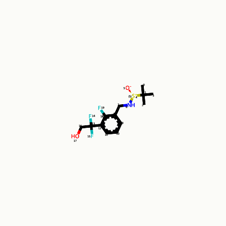 CC(C)(C)[S@@+]([O-])NCc1cccc(C(F)(F)CO)c1F